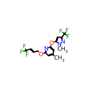 Cc1cc(OCC=CC(F)(F)F)nc(Oc2cc(C(F)(F)F)nn2C)c1